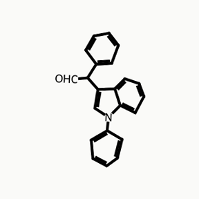 O=CC(c1ccccc1)c1cn(-c2ccccc2)c2ccccc12